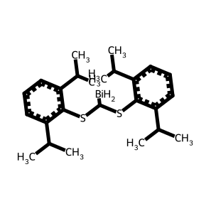 CC(C)c1cccc(C(C)C)c1S[CH]([BiH2])Sc1c(C(C)C)cccc1C(C)C